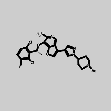 CC(=O)N1CCC(n2cc(-c3coc4c(O[C@H](C)c5c(Cl)ccc(F)c5Cl)c(N)ncc34)cn2)CC1